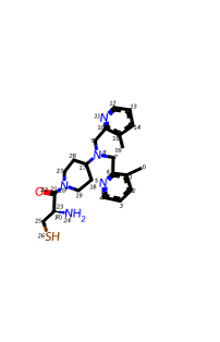 Cc1cccnc1CN(Cc1ncccc1C)C1CCN(C(=O)[C@@H](N)CS)CC1